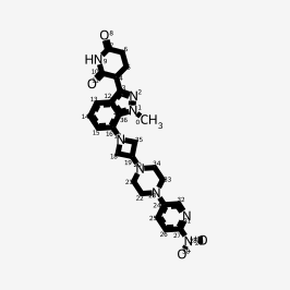 Cn1nc(C2CCC(=O)NC2=O)c2cccc(N3CC(N4CCN(c5ccc([N+](=O)[O-])nc5)CC4)C3)c21